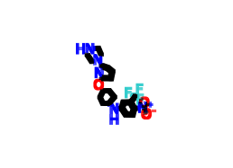 O=[N+]([O-])c1ccc(NC2CCC(Oc3cccc(N4CCNCC4)n3)CC2)cc1C(F)(F)F